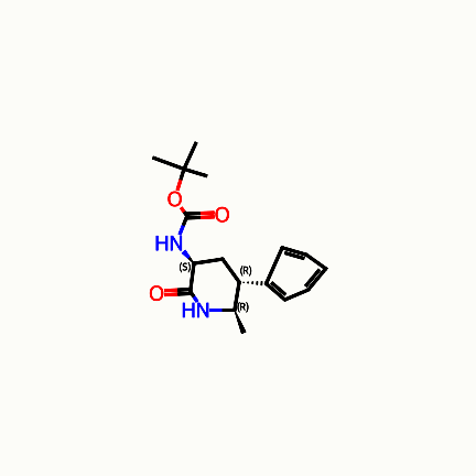 C[C@H]1NC(=O)[C@@H](NC(=O)OC(C)(C)C)C[C@@H]1c1ccccc1